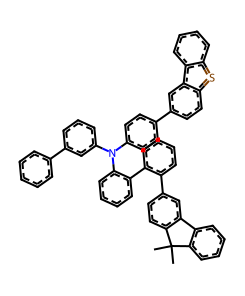 CC1(C)c2ccccc2-c2cc(-c3ccccc3-c3ccccc3N(c3ccc(-c4ccc5sc6ccccc6c5c4)cc3)c3cccc(-c4ccccc4)c3)ccc21